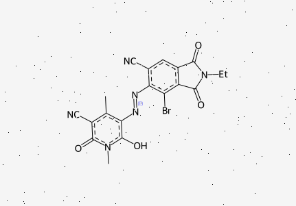 CCN1C(=O)c2cc(C#N)c(/N=N/c3c(C)c(C#N)c(=O)n(C)c3O)c(Br)c2C1=O